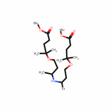 CCC(CCOC(C)(C)CCC(=O)OC(C)(C)C)NC(C)CCOC(C)(C)CCC(=O)OC(C)(C)C